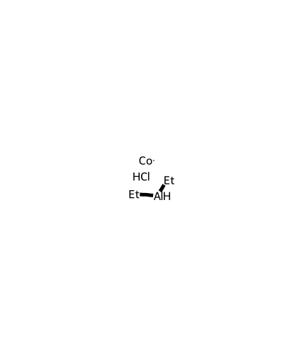 C[CH2][AlH][CH2]C.Cl.[Co]